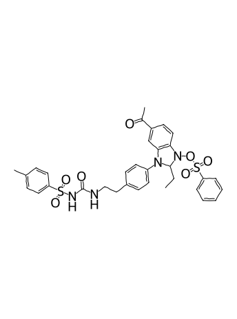 CCC1N(OS(=O)(=O)c2ccccc2)c2ccc(C(C)=O)cc2N1c1ccc(CCNC(=O)NS(=O)(=O)c2ccc(C)cc2)cc1